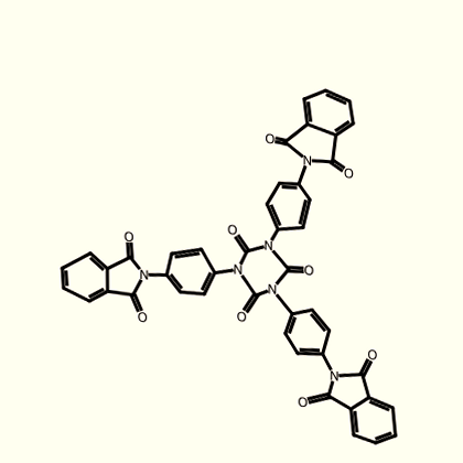 O=C1c2ccccc2C(=O)N1c1ccc(-n2c(=O)n(-c3ccc(N4C(=O)c5ccccc5C4=O)cc3)c(=O)n(-c3ccc(N4C(=O)c5ccccc5C4=O)cc3)c2=O)cc1